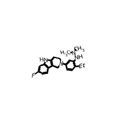 CCc1ccc(N2CCc3[nH]c4cc(F)ccc4c3C2)cc1NN(C)C